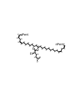 CCCCC/C=C\C/C=C\CCCCCCCCCC(CCCCCCC/C=C\C/C=C\CCCCC)OC(=O)N(CC)CCN(C)C